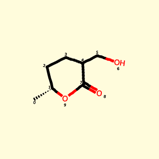 C[C@@H]1CCC(CO)C(=O)O1